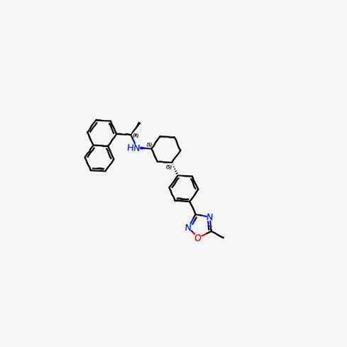 Cc1nc(-c2ccc([C@H]3CCC[C@H](N[C@H](C)c4cccc5ccccc45)C3)cc2)no1